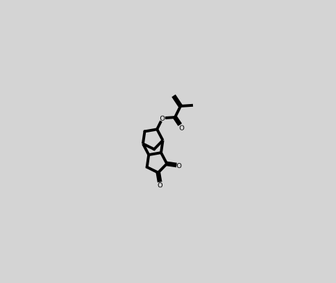 C=C(C)C(=O)OC1CC2CC1C1C(=O)C(=O)CC21